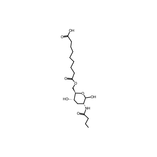 CCCC(=O)N[C@@H]1C[C@H](O)[C@@H](COC(=O)CCCCCCCC(=O)O)OC1O